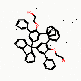 OCCOc1c(-c2ccccc2)cc(C2(c3cc(-c4ccccc4)c(OCCO)c(-c4ccccc4)c3)c3ccccc3-c3ccccc32)cc1-c1ccccc1